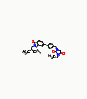 CCN1C(=O)CN(Cc2ccc(-c3ccc4c(c3)CN(CC(C)C)C4=O)cc2)C1=O